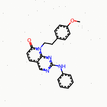 COc1ccc(CCn2c(=O)ccc3cnc(Nc4ccccc4)nc32)cc1